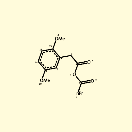 [CH2]CCC(=O)OC(=O)Cc1cc(OC)ccc1OC